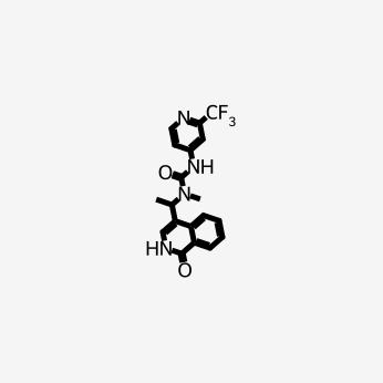 CC(c1c[nH]c(=O)c2ccccc12)N(C)C(=O)Nc1ccnc(C(F)(F)F)c1